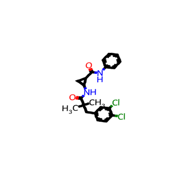 CC(C)(Cc1ccc(Cl)c(Cl)c1)C(=O)NC1CC1C(=O)Nc1ccccc1